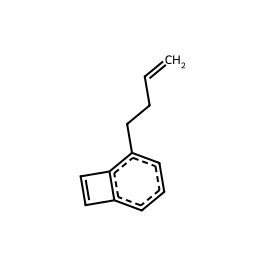 C=CCCc1cccc2c1C=C2